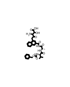 CC(C)[C@H](NC(=O)OCc1ccccc1)C(=O)N[C@@H](C)C(=O)NC(=O)c1cc(CC(=O)C(N)C(O)C(=O)O)c2ccccc2c1